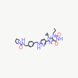 CCCn1c(=O)[nH]c(=O)c2nc(-c3ccc(NCc4ccc(CNC(=O)N5CCCC5)cc4)nc3)n(C3CC3)c21